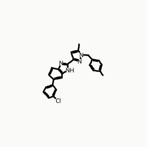 Cc1ccc(Cn2nc(-c3nc4ccc(-c5cccc(Cl)c5)cc4[nH]3)cc2C)cc1